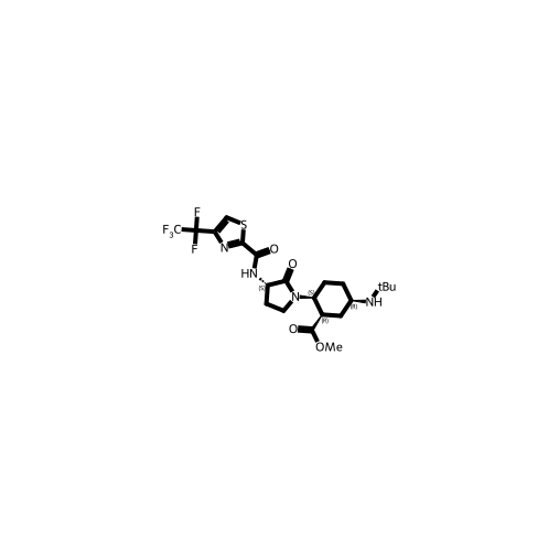 COC(=O)[C@@H]1C[C@H](NC(C)(C)C)CC[C@@H]1N1CC[C@H](NC(=O)c2nc(C(F)(F)C(F)(F)F)cs2)C1=O